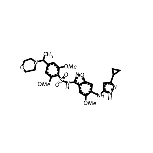 COc1cc2c(NS(=O)(=O)c3c(OC)cc(C(C)N4CCOCC4)cc3OC)noc2cc1Nc1cc(C2CC2)n[nH]1